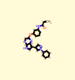 C=CC(=O)Nc1cccc(Oc2cnc3[nH]cc(-c4cnn(-c5ccccc5)c4)c3n2)c1